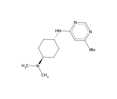 CN(C)[C@H]1CC[C@H](Nc2cc(C(C)(C)C)ncn2)CC1